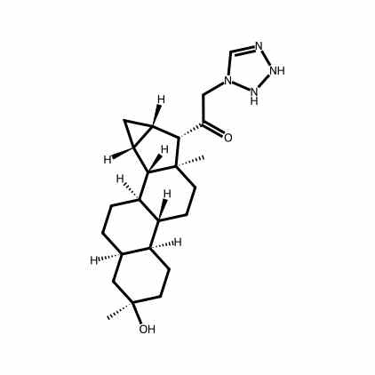 C[C@@]1(O)CC[C@H]2[C@H](CC[C@@H]3[C@@H]2CC[C@@]2(C)[C@H]3[C@@H]3C[C@@H]3[C@@H]2C(=O)CN2C=NNN2)C1